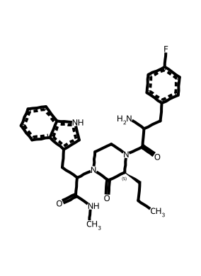 CCC[C@H]1C(=O)N(C(Cc2c[nH]c3ccccc23)C(=O)NC)CCN1C(=O)C(N)Cc1ccc(F)cc1